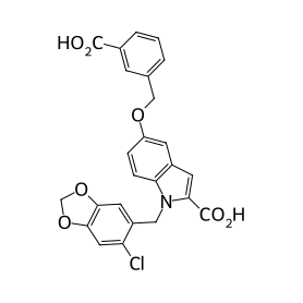 O=C(O)c1cccc(COc2ccc3c(c2)cc(C(=O)O)n3Cc2cc3c(cc2Cl)OCO3)c1